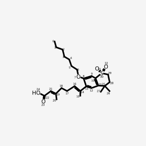 CCCCCCCOc1cc2c(cc1/C(C)=C/CC/C(C)=C/C(=O)O)C(C)(C)CCS2(=O)=O